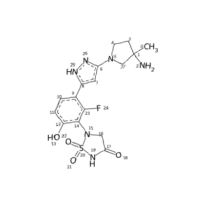 CC1(N)CCN(c2cc(-c3ccc(O)c(N4CC(=O)NS4(=O)=O)c3F)[nH]n2)C1